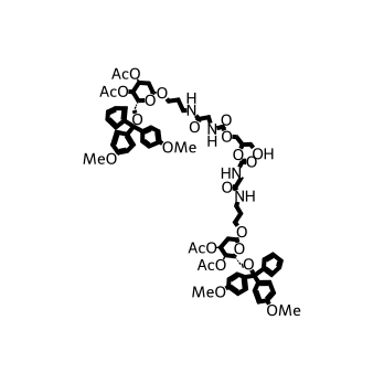 COc1ccc(C(OC[C@H]2O[C@@H](OCCCNC(=O)CNC(=O)OCC(CO)OC(=O)NCC(=O)NCCCO[C@H]3C[C@@H](OC(C)=O)[C@@H](OC(C)=O)[C@@H](COC(c4ccccc4)(c4ccc(OC)cc4)c4ccc(OC)cc4)O3)C[C@@H](OC(C)=O)C2OC(C)=O)(c2ccccc2)c2ccc(OC)cc2)cc1